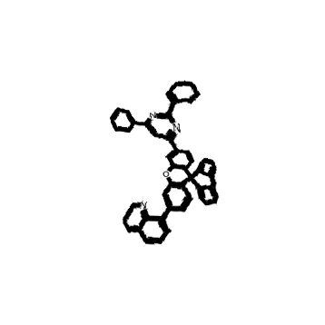 C1=CCCC(c2nc(-c3ccccc3)cc(-c3ccc4c(c3)Oc3cc(-c5cccc6cccnc56)ccc3C43c4ccccc4-c4ccccc43)n2)=C1